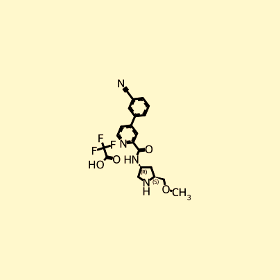 COC[C@@H]1C[C@@H](NC(=O)c2cc(-c3cccc(C#N)c3)ccn2)CN1.O=C(O)C(F)(F)F